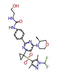 Cc1nn(C(F)F)c(C)c1S(=O)(=O)C1(c2cc(N3CCOC[C@@H]3C)nc(-c3ccc(NC(=O)NCCO)cc3)n2)CC1